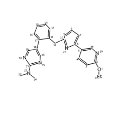 CCOc1ccc(-c2cccc(Cc3ccccc3-c3cnc(N(C)C)nc3)n2)cn1